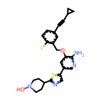 Nc1ncc(-c2cnc(C3CCN(O)CC3)s2)cc1OCc1cc(C#CC2CC2)ccc1F